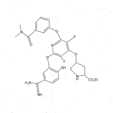 CCOC(=O)C1CC(Oc2c(F)c(Oc3cccc(C(=O)N(C)C)c3)nc(Oc3cc(C(=N)N)ccc3O)c2F)CN1